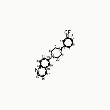 FC(F)(F)c1cccc(N2CCN(c3ccc4ncccc4c3)CC2)c1